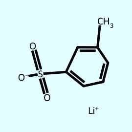 Cc1cccc(S(=O)(=O)[O-])c1.[Li+]